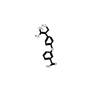 CCC(=C(C)C)c1ccc(Oc2cccc(C(=O)O)c2)cc1